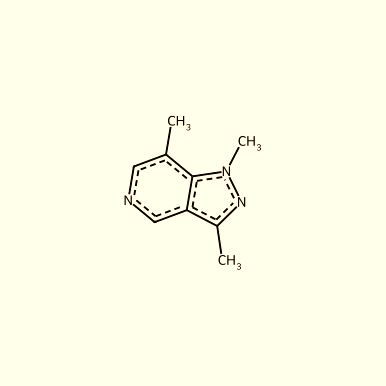 Cc1nn(C)c2c(C)cncc12